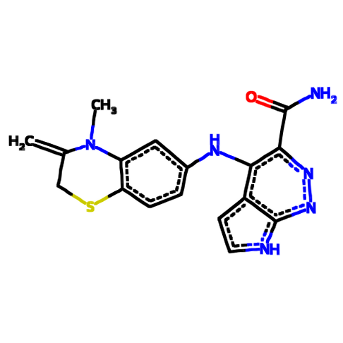 C=C1CSc2ccc(Nc3c(C(N)=O)nnc4[nH]ccc34)cc2N1C